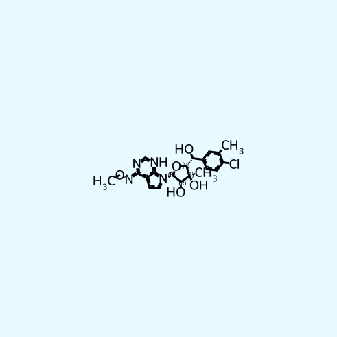 CON=c1nc[nH]c2c1ccn2[C@@H]1O[C@H](C(O)c2ccc(Cl)c(C)c2)[C@@](C)(O)[C@H]1O